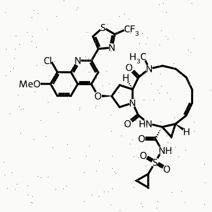 COc1ccc2c(O[C@H]3C[C@H]4C(=O)N(C)CCCC/C=C\[C@@H]5C[C@@]5(C(=O)NS(=O)(=O)C5CC5)NC(=O)N4C3)cc(-c3csc(C(F)(F)F)n3)nc2c1Cl